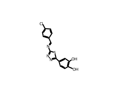 Oc1ccc(-c2nnc(N=Cc3ccc(Cl)cc3)s2)cc1O